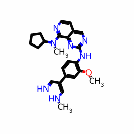 CN/C=C(\C=N)c1ccc(Nc2ncc3ccnc(N(C)C4CCCC4)c3n2)c(OC)c1